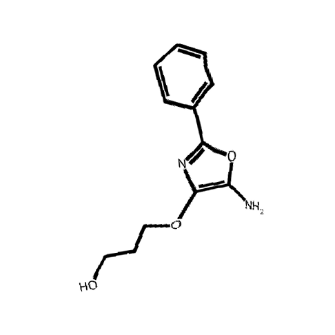 Nc1oc(-c2ccccc2)nc1OCCCO